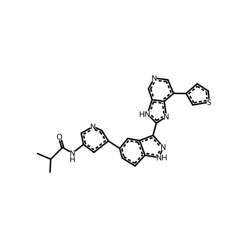 CC(C)C(=O)Nc1cncc(-c2ccc3[nH]nc(-c4nc5c(-c6ccsc6)cncc5[nH]4)c3c2)c1